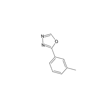 Cc1cccc(-c2nnco2)c1